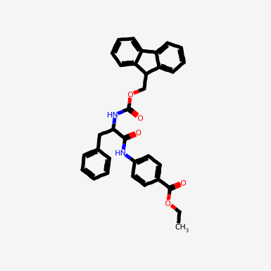 CCOC(=O)c1ccc(NC(=O)C(Cc2ccccc2)NC(=O)OCC2c3ccccc3-c3ccccc32)cc1